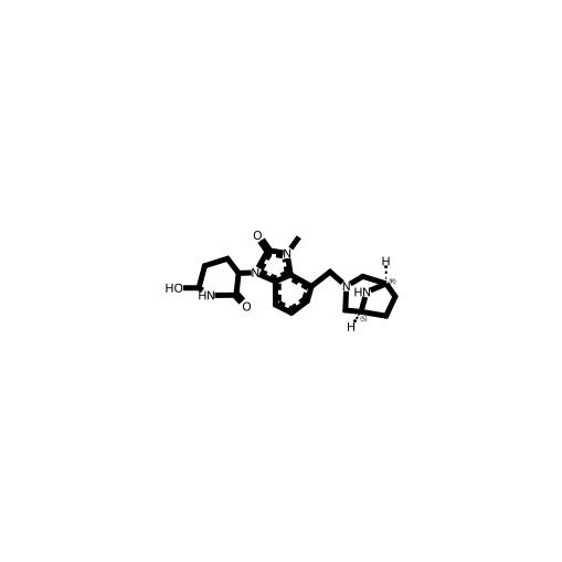 Cn1c(=O)n(C2CCC(O)NC2=O)c2cccc(CN3C[C@H]4CC[C@@H](C3)N4)c21